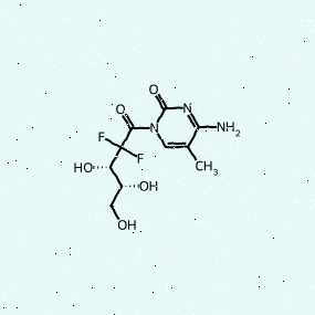 Cc1cn(C(=O)C(F)(F)[C@@H](O)[C@H](O)CO)c(=O)nc1N